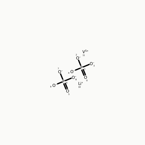 O=P([O-])([O-])[O-].O=P([O-])([O-])[O-].[Li+].[V+5]